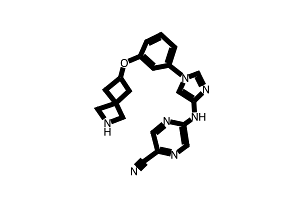 N#Cc1cnc(Nc2cn(-c3cccc(OC4CC5(CNC5)C4)c3)cn2)cn1